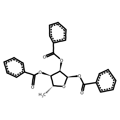 C[C@H]1O[C@H](OC(=O)c2ccccc2)[C@H](OC(=O)c2ccccc2)[C@@H]1OC(=O)c1ccccc1